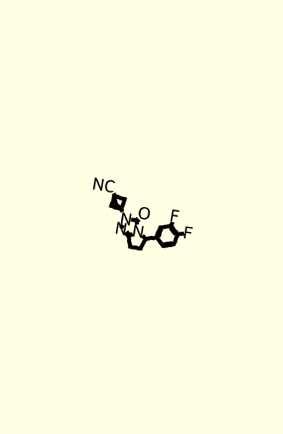 N#CC12CC(n3nc4n(c3=O)C(c3ccc(F)c(F)c3)CC4)(C1)C2